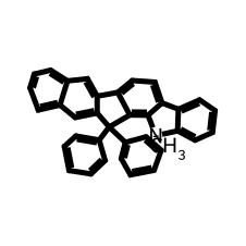 Cn1c2ccccc2c2ccc3c(c21)C(c1ccccc1)(c1ccccc1)c1cc2ccccc2cc1-3